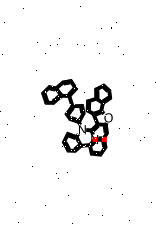 c1ccc(-c2ccccc2N(c2ccc(-c3cccc4ccccc34)cc2)c2nccc3oc4c5ccccc5ccc4c23)cc1